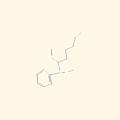 CCCCCC(NC)N(CC)c1ccccc1